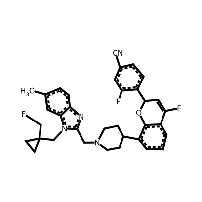 Cc1ccc2nc(CN3CCC(c4cccc5c4OC(c4ccc(C#N)cc4F)C=C5F)CC3)n(CC3(CF)CC3)c2c1